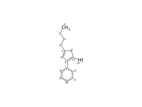 CCCCC1=CC(c2ccccc2)=[C]([Hf])C1